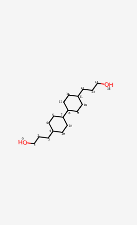 OCCCC1CCC(C2CCC(CCCO)CC2)CC1